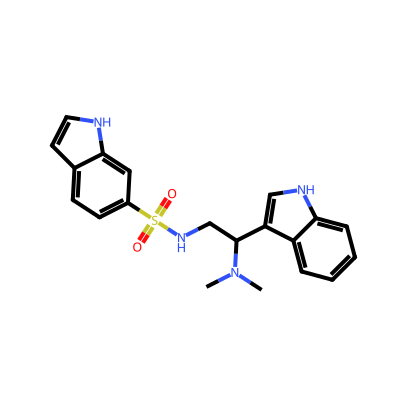 CN(C)C(CNS(=O)(=O)c1ccc2cc[nH]c2c1)c1c[nH]c2ccccc12